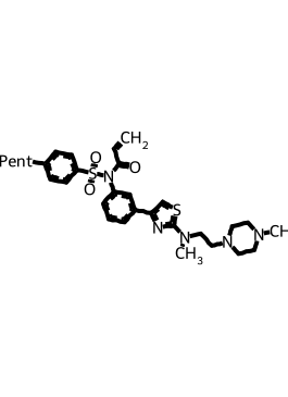 C=CC(=O)N(c1cccc(-c2csc(N(C)CCN3CCN(C)CC3)n2)c1)S(=O)(=O)c1ccc(CCCCC)cc1